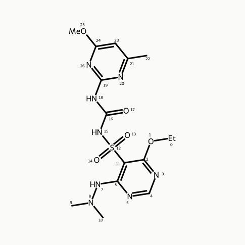 CCOc1ncnc(NN(C)C)c1S(=O)(=O)NC(=O)Nc1nc(C)cc(OC)n1